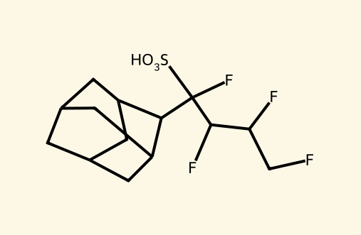 O=S(=O)(O)C(F)(C(F)C(F)CF)C1C2CC3CC(C2)CC1C3